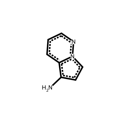 Nc1ccn2ncccc12